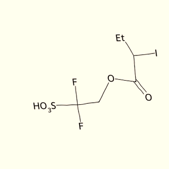 CCC(I)C(=O)OCC(F)(F)S(=O)(=O)O